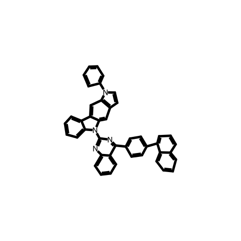 c1ccc(-n2ccc3cc4c(cc32)c2ccccc2n4-c2nc(-c3ccc(-c4cccc5ccccc45)cc3)c3ccccc3n2)cc1